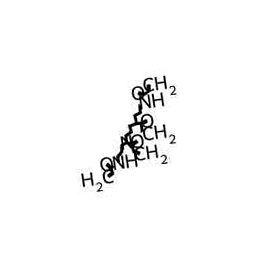 C=CC(=O)NCCCC(CCCN(CCCNC(=O)C=C)C(=O)C=C)C(=O)C=C